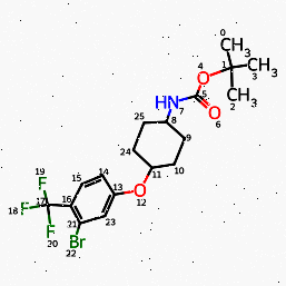 CC(C)(C)OC(=O)NC1CCC(Oc2ccc(C(F)(F)F)c(Br)c2)CC1